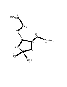 CCCCCOC[C@H]1O[C@@](O)(Cl)C[C@@H]1OCCCCC